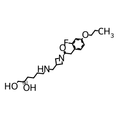 CCCOc1ccc(CC(=O)N2CC(CNCCCC[C@H](O)CO)C2)c(F)c1